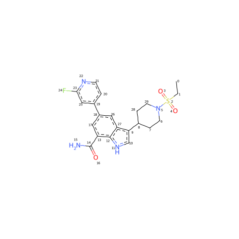 CCS(=O)(=O)N1CCC(c2c[nH]c3c(C(N)=O)cc(-c4ccnc(F)c4)cc23)CC1